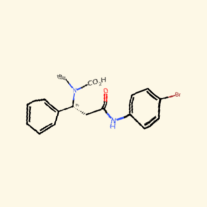 CC(C)(C)N(C(=O)O)[C@H](CC(=O)Nc1ccc(Br)cc1)c1ccccc1